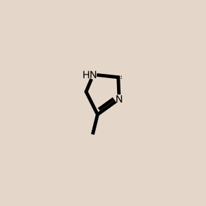 CC1=N[C]NC1